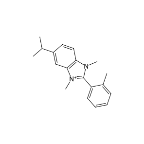 Cc1ccccc1-c1n(C)c2ccc(C(C)C)cc2[n+]1C